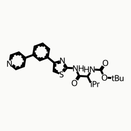 CC(C)C(NC(=O)OC(C)(C)C)C(=O)Nc1nc(-c2cccc(-c3ccncc3)c2)cs1